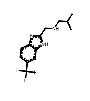 CC(C)CNCc1nc2ccc(C(F)(F)F)cc2[nH]1